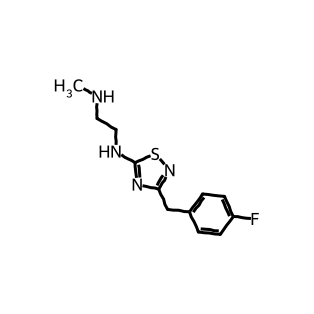 CNCCNc1nc(Cc2ccc(F)cc2)ns1